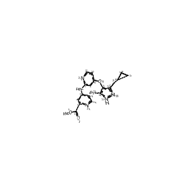 COC(=O)c1cc(Nc2cc(Oc3c(C4CC4)n[nH]c3C(C)C)ccn2)ccn1